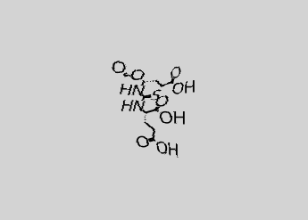 O=CO[C@H](CCC(=O)O)NC(=S)N[C@@H](CCC(=O)O)C(=O)O